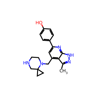 Cc1n[nH]c2nc(-c3ccc(O)cc3)cc(CN3CCNCC34CC4)c12